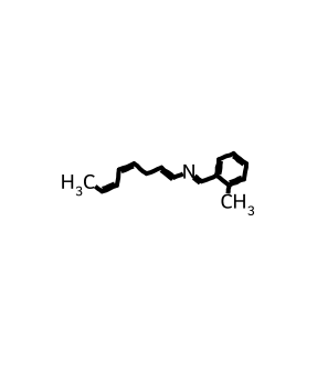 C/C=C\C=C/C/C=C/N=C/c1ccccc1C